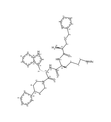 CC(=O)NCCCC[C@H](NC(=O)[C@@H](N)COCc1ccccc1)C(=O)N[C@@H](Cc1c[nH]c2ccccc12)C(=O)N1CCC(c2ccccc2)CC1